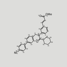 COC(=O)/C=C/c1cccc(N(Cc2ccc(-c3ccc(C#N)cc3)cc2)C(=O)C2CCCCC2)c1